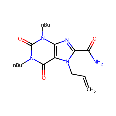 C=CCn1c(C(N)=O)nc2c1c(=O)n(CCCC)c(=O)n2CCCC